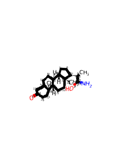 CC(C(N)O)[C@H]1CC[C@H]2[C@@H]3CCC4=CC(=O)CC[C@]4(C)[C@H]3CC[C@]12C